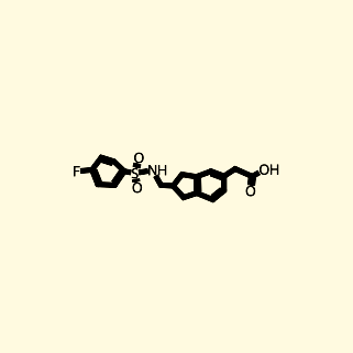 O=C(O)Cc1ccc2c(c1)CC(CNS(=O)(=O)c1ccc(F)cc1)C2